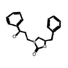 O=C1OC(Cc2ccccc2)CN1CCC(Cl)c1ccccc1